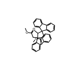 COC(=O)CC1(C(C)C2(CC(=O)OC)c3ccccc3-c3ccccc32)c2ccccc2-c2ccccc21